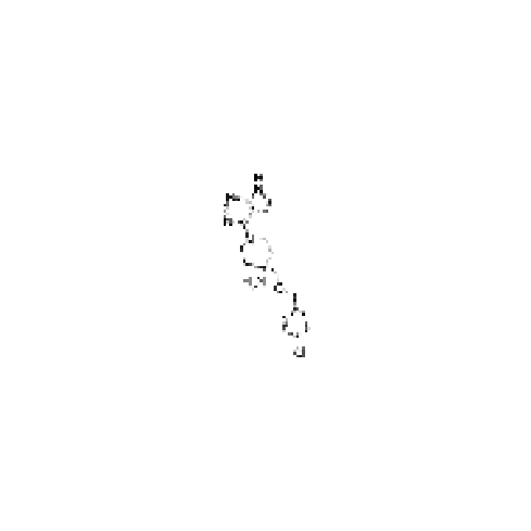 NC1(COCc2ccc(Cl)cc2)CCN(c2ncnc3[nH]ccc23)CC1